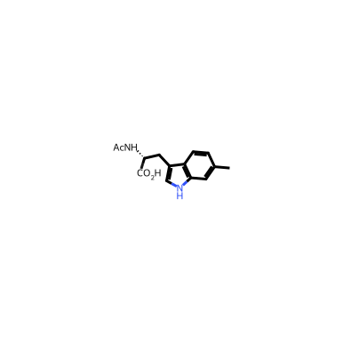 CC(=O)N[C@H](Cc1c[nH]c2cc(C)ccc12)C(=O)O